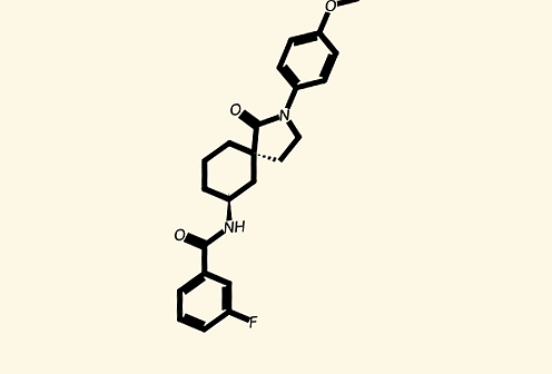 COc1ccc(N2CC[C@]3(CCC[C@H](NC(=O)c4cccc(F)c4)C3)C2=O)cc1